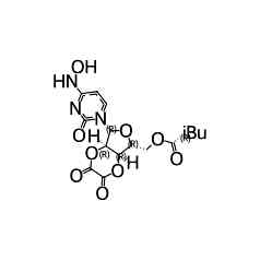 CC[C@@H](C)C(=O)OC[C@H]1O[C@@H](n2ccc(NO)nc2=O)[C@@H]2OC(=O)C(=O)O[C@@H]21